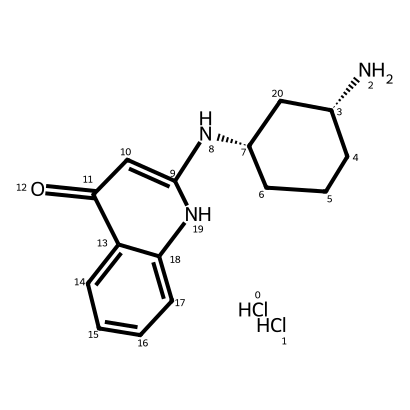 Cl.Cl.N[C@@H]1CCC[C@H](Nc2cc(=O)c3ccccc3[nH]2)C1